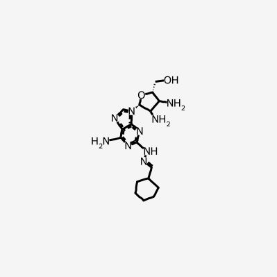 Nc1nc(N/N=C/C2CCCCC2)nc2c1ncn2[C@@H]1O[C@H](CO)C(N)C1N